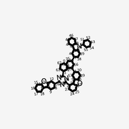 c1ccc(-c2nc(-c3ccc4c(c3)oc3ccccc34)nc(-c3cccc4oc5ccc(-c6cccc(-c7ccc8c(c7)c7ccccc7n8-c7ccccc7)c6)cc5c34)n2)cc1